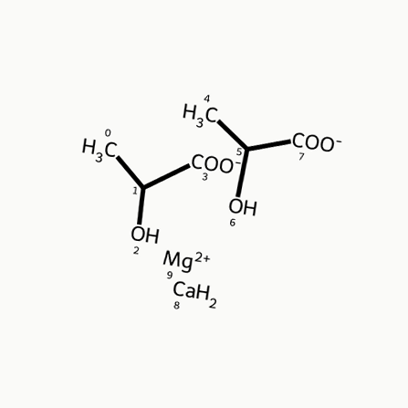 CC(O)C(=O)[O-].CC(O)C(=O)[O-].[CaH2].[Mg+2]